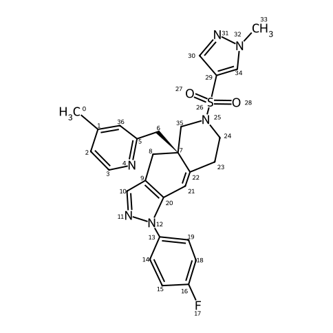 Cc1ccnc(C[C@]23Cc4cnn(-c5ccc(F)cc5)c4C=C2CCN(S(=O)(=O)c2cnn(C)c2)C3)c1